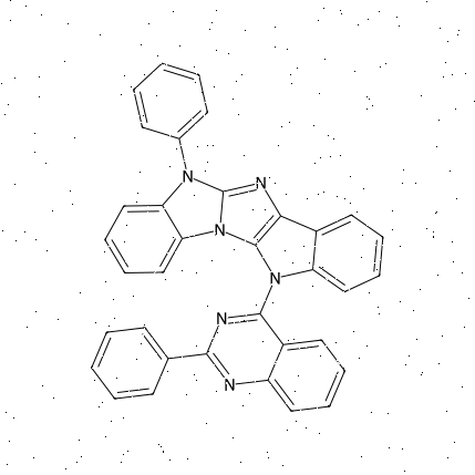 c1ccc(-c2nc(-n3c4ccccc4c4nc5n(-c6ccccc6)c6ccccc6n5c43)c3ccccc3n2)cc1